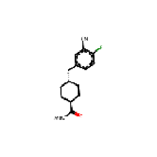 COC(=O)[C@H]1CC[C@H](Cc2ccc(F)c(C#N)c2)CC1